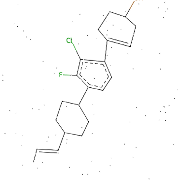 C/C=C/C1CCC(c2ccc(C3=CCC(S)CC3)c(Cl)c2F)CC1